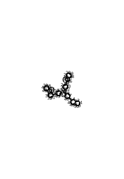 c1ccc2cc(-c3ccc(N(c4ccc(-c5cc6ccccc6o5)cc4)c4ccc(-c5cccc6c5oc5ccccc56)cc4)cc3)ccc2c1